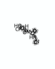 O=C(N/N=C/c1ccc(CNCc2ccccn2)c2ccccc12)c1ccc(O)c(Cl)c1